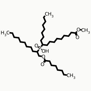 CCCCCCCCCC(COC(=O)CCCCCCC)P(=O)(O)C(CCCCCCCC)CCCCCCCCC(=O)OC